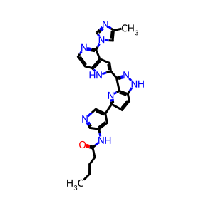 CCCCC(=O)Nc1cncc(-c2ccc3[nH]nc(-c4cc5c(-n6cnc(C)c6)nccc5[nH]4)c3n2)c1